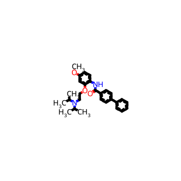 COc1ccc(NC(=O)c2ccc(-c3ccccc3)cc2)c(OCCN(C(C)C)C(C)C)c1